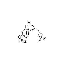 CC(C)(C)OC(=O)/C=C1/C[C@H]2CC(CC3CC(F)(F)C3)=C[C@@H]12